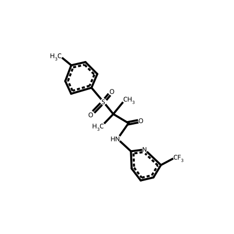 Cc1ccc(S(=O)(=O)C(C)(C)C(=O)Nc2cccc(C(F)(F)F)n2)cc1